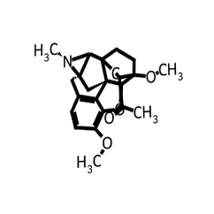 COc1ccc2c3c1OC1C4(OC)CCC5(CC4C(C)=O)C4[N@@](C)[C@]4(C2)C[C@]315